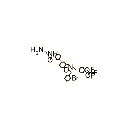 NCCCNC(=O)c1cccc(-c2cccc(CN(CCc3ccc(OC(=O)C(F)(F)F)cc3)C(=O)Cc3ccccc3Br)c2)c1